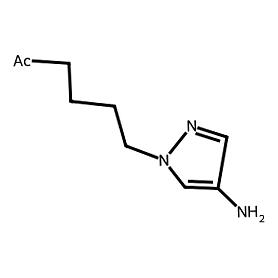 CC(=O)CCCCn1cc(N)cn1